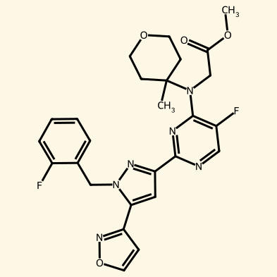 COC(=O)CN(c1nc(-c2cc(-c3ccon3)n(Cc3ccccc3F)n2)ncc1F)C1(C)CCOCC1